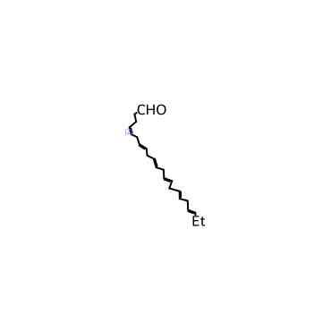 CCC=CCC=CCC=CCC=CCC=CC/C=C\CCC=O